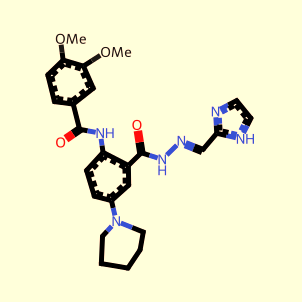 COc1ccc(C(=O)Nc2ccc(N3CCCCC3)cc2C(=O)NN=Cc2ncc[nH]2)cc1OC